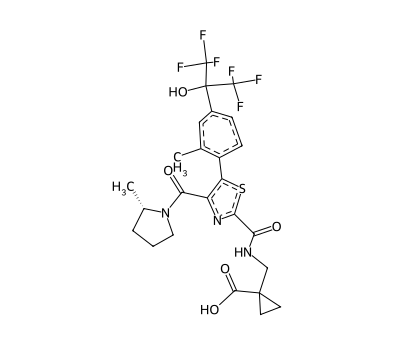 Cc1cc(C(O)(C(F)(F)F)C(F)(F)F)ccc1-c1sc(C(=O)NCC2(C(=O)O)CC2)nc1C(=O)N1CCC[C@@H]1C